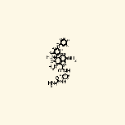 CNCC(=O)N[C@@H]1CC[C@@H](NC(=O)c2sc3c(N)ccc4c3c2C(N)C(=O)C4(N)c2ccc(Oc3ccccc3)cc2C)C1